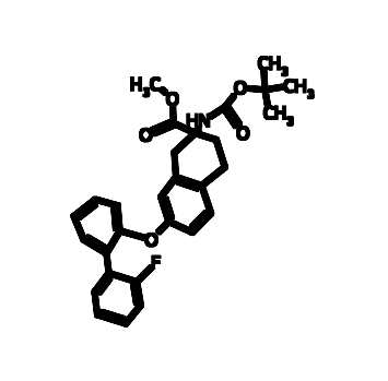 COC(=O)C1(NC(=O)OC(C)(C)C)CCc2ccc(Oc3ccccc3-c3ccccc3F)cc2C1